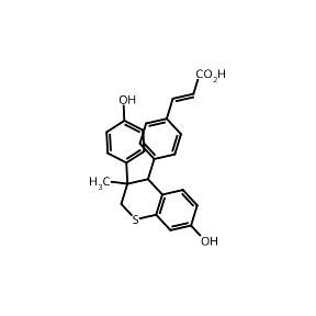 CC1(c2ccc(O)cc2)CSc2cc(O)ccc2C1c1ccc(C=CC(=O)O)cc1